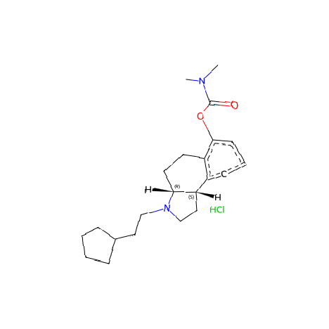 CN(C)C(=O)Oc1cccc2c1CC[C@@H]1[C@H]2CCN1CCC1CCCC1.Cl